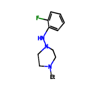 CCN1CCN(Nc2ccccc2F)CC1